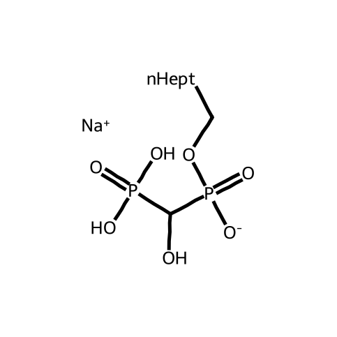 CCCCCCCCOP(=O)([O-])C(O)P(=O)(O)O.[Na+]